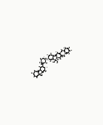 CC1(C)c2cc(-c3cccc(-c4ccc5sc6ccccc6c5c4)c3)ccc2-c2cc3c(cc21)Sc1ccccc1S3